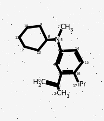 C=C(C)c1cc(N(C)C2CCCCC2)ccc1C(C)C